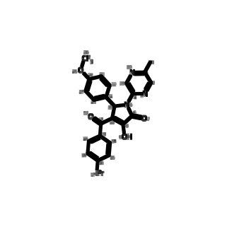 Cc1cnc(N2C(=O)C(O)=C(C(=O)c3ccc(C(C)C)cc3)C2c2ccc(OC(F)(F)F)cc2)cn1